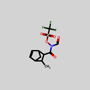 CC1C2C=CC(C2)C1C(=O)N(C=O)OS(=O)(=O)C(F)(F)F